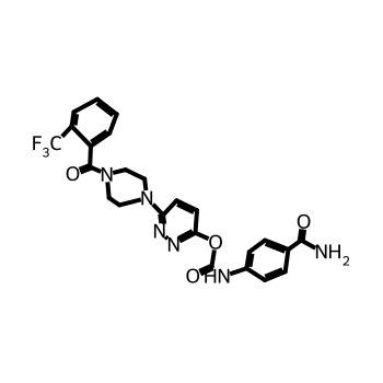 NC(=O)c1ccc(NC(=O)Oc2ccc(N3CCN(C(=O)c4ccccc4C(F)(F)F)CC3)nn2)cc1